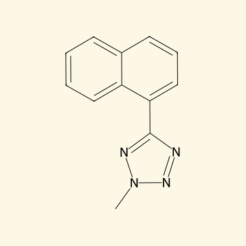 Cn1nnc(-c2cccc3ccccc23)n1